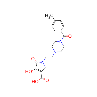 Cc1ccc(C(=O)N2CCN(CCN3CC(C(=O)O)=C(O)C3=O)CC2)cc1